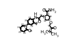 CN(C)C(=O)CO[C@H]1[CH]C(C(N)=O)N(CC(=O)Nc2ccc(-n3ccccc3=O)cc2F)C1